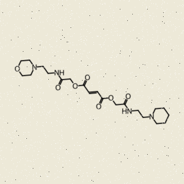 O=C(COC(=O)/C=C/C(=O)OCC(=O)NCCN1CCOCC1)NCCN1CCCCC1